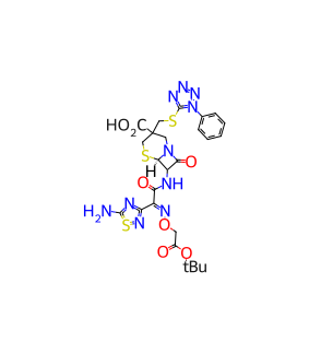 CC(C)(C)OC(=O)CON=C(C(=O)NC1C(=O)N2CC(CSc3nnnn3-c3ccccc3)(C(=O)O)CS[C@H]12)c1nsc(N)n1